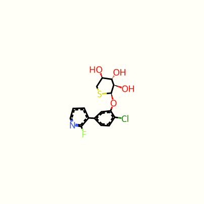 O[C@@H]1[C@@H](O)[C@@H](Oc2cc(-c3cccnc3F)ccc2Cl)SC[C@H]1O